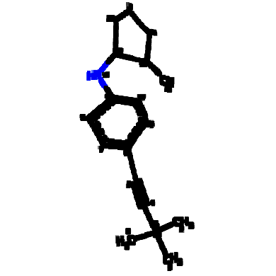 C[Si](C)(C)C#Cc1ccc(NC2CCCC2C#N)cc1